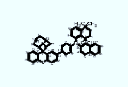 CC1(C)CCC(C)(C)c2c(N(c3ccc(-c4ccc5c(c4)C4(c6ccccc6S5)C5CC6CC7CC4C75C6)cc3)c3ccc4ccccc4c3)cccc21